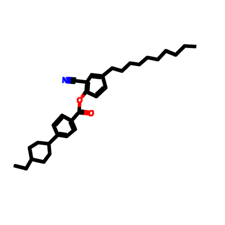 CCCCCCCCCCc1ccc(OC(=O)c2ccc(C3CCC(CC)CC3)cc2)c(C#N)c1